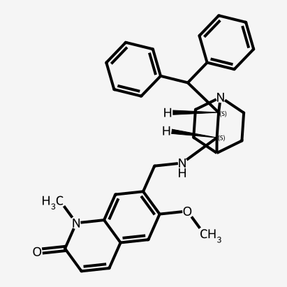 COc1cc2ccc(=O)n(C)c2cc1CN[C@H]1C2CCN(CC2)[C@H]1C(c1ccccc1)c1ccccc1